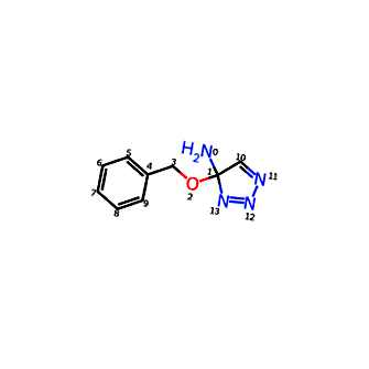 NC1(OCc2ccccc2)C=NN=N1